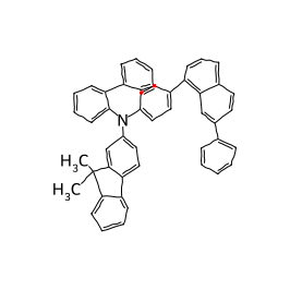 CC1(C)c2ccccc2-c2ccc(N(c3ccc(-c4cccc5ccc(-c6ccccc6)cc45)cc3)c3ccccc3-c3ccccc3)cc21